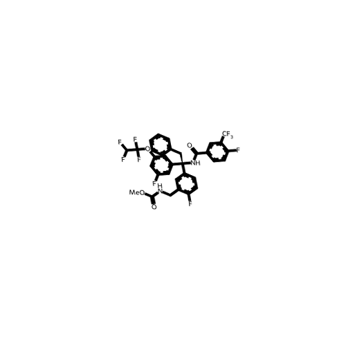 COC(=O)NCc1cc([C@@](Cc2ccccc2)(NC(=O)c2ccc(F)c(C(F)(F)F)c2)c2cc(F)cc(OC(F)(F)C(F)F)c2)ccc1F